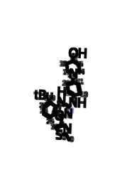 Cc1nc(C(=O)/N=C(/Nc2ccc(N3CCC(O)CC3)cc2)Nc2ccccc2C(C)(C)C)cs1